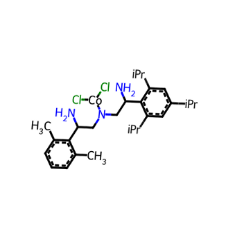 Cc1cccc(C)c1C(N)C[N](CC(N)c1c(C(C)C)cc(C(C)C)cc1C(C)C)[Co]([Cl])[Cl]